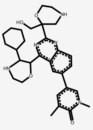 Cc1cc(-c2ccc3nc(C4(CO)CNCCO4)nc(C4OCCNC4C4CCCCC4)c3c2)cn(C)c1=O